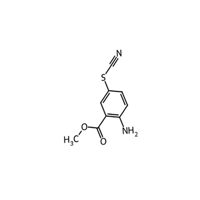 COC(=O)c1cc(SC#N)ccc1N